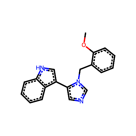 COc1ccccc1Cn1cncc1-c1c[nH]c2ccccc12